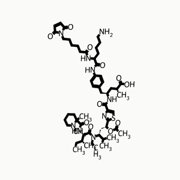 CC[C@H](C)[C@H](NC(=O)C1(C)CCCCN1C)C(=O)N(CC)[C@H](C[C@@H](OC(C)=O)c1nc(C(=O)N[C@@H](Cc2ccc(NC(=O)C(CCCCN)NC(=O)CCCCCN3C(=O)C=CC3=O)cc2)C[C@H](C)C(=O)O)cs1)C(C)C